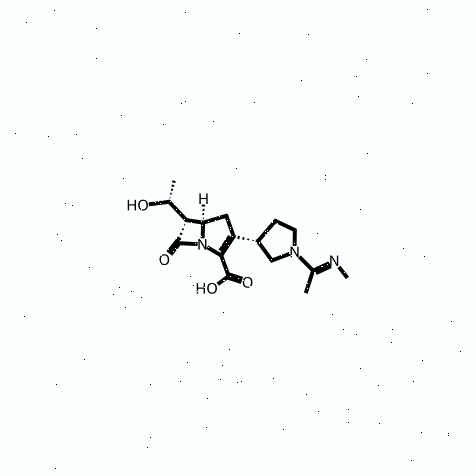 CN=C(C)N1CC[C@@H](C2=C(C(=O)O)N3C(=O)[C@H]([C@@H](C)O)[C@H]3C2)C1